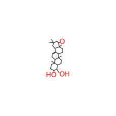 CC1(C)CC(=O)C2(C)CC[C@]3(C)C(=CCC4C5(C)CCC(O)[C@](C)(CO)C5CCC43C)C2C1